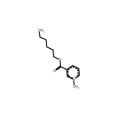 CCCCCCOC(=O)c1ccc[n+](C)c1